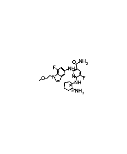 COCCn1ccc2cc(Nc3nc(N[C@@H]4CCCC[C@@H]4N)c(F)cc3C(N)=O)cc(F)c21